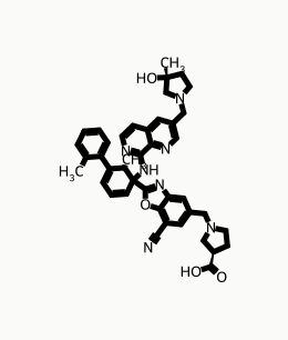 Cc1ccccc1C1=CC=CC(Nc2nccc3cc(CN4CC[C@@](C)(O)C4)cnc23)(c2nc3cc(CN4CC[C@@H](C(=O)O)C4)cc(C#N)c3o2)C1C